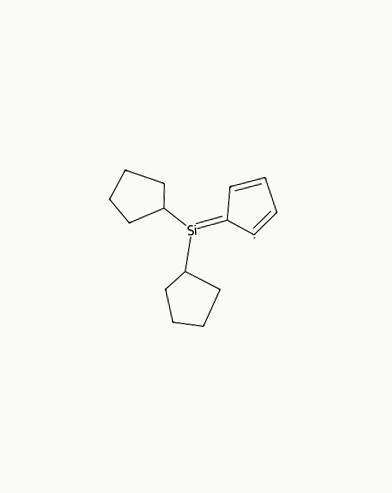 [C]1=CC=CC1=[Si](C1CCCC1)C1CCCC1